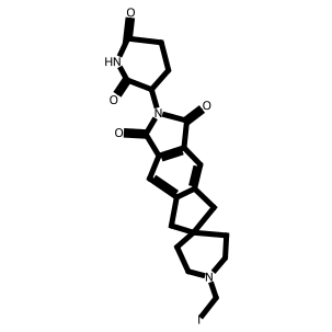 O=C1CCC(N2C(=O)c3cc4c(cc3C2=O)CC2(CCN(CI)CC2)C4)C(=O)N1